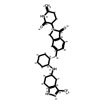 C=C1CCC(N2Cc3cc(C[C@H]4CCCC[C@@H]4NC4CCc5[nH]nc(C(F)(F)F)c5C4)ccc3C2=O)C(=O)N1